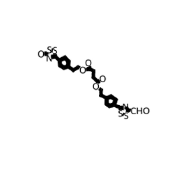 O=CC1N=C(c2ccc(CCOC(=O)CCC(=O)OCCc3ccc(-c4nc(=O)ss4)cc3)cc2)SS1